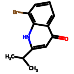 CC(C)c1cc(=O)c2cccc(Br)c2[nH]1